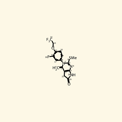 C=C1C2=C(N=C(SC)N1c1ccc(OCC(F)(F)F)c(F)c1)NC(=O)C2